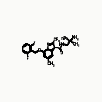 CCCC(C)(N)CNC(=O)c1c(C(F)(F)F)nn2c(OCc3c(F)cccc3F)cc(C)cc12